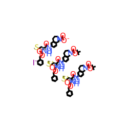 CSCC[C@H](NC(=O)OCc1ccccc1)C(=O)Nc1ccc2c(c1)CCCN(C(=O)[O-])C2.C[S+](C)CC[C@H](NC(=O)OCc1ccccc1)C(=O)Nc1ccc2c(c1)CCCN(C(=O)OC(C)(C)C)C2.C[S+](C)CC[C@H](NC(=O)OCc1ccccc1)C(=O)Nc1ccc2c(c1)CCCN(C(=O)OC(C)(C)C)C2.[I-]